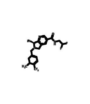 CC1CC(CN2Cc3cc(C(=O)NCC(F)F)cnc3[C@@H]2C(C)C)=CC=C1C(F)(F)F